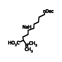 CCCCCCCCCCCCCCCCCCC(C(=O)O)N(C)C.[NaH]